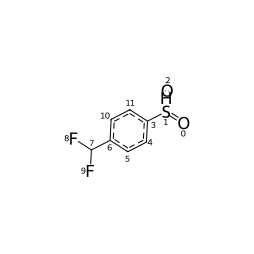 O=[SH](=O)c1ccc(C(F)F)cc1